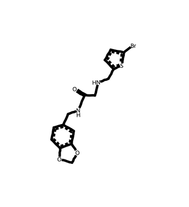 O=C(CNCc1ccc(Br)s1)NCc1ccc2c(c1)OCO2